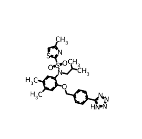 Cc1csc(S(=O)(=O)N(CC(C)C)c2cc(C)c(C)cc2OCc2ccc(-c3nnn[nH]3)cc2)n1